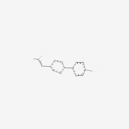 CCCCc1ccc(-c2ccc(C=C(Br)Br)cc2)cc1